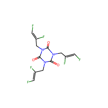 O=c1n(CC(F)=CF)c(=O)n(CC(F)=CF)c(=O)n1CC(F)=CF